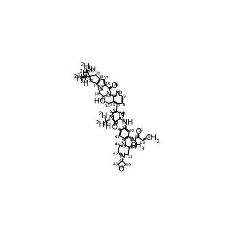 [2H]C([2H])([2H])n1cc(-c2ccnc(N3CCn4c(cc5c4CC(C([2H])([2H])[2H])(C([2H])([2H])[2H])C5)C3=O)c2CO)nc(Nc2ccc(N3CCN(C4COC4)C[C@@H]3C)c(NC(=O)C=C)c2)c1=O